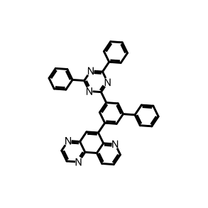 c1ccc(-c2cc(-c3nc(-c4ccccc4)nc(-c4ccccc4)n3)cc(-c3cc4nccnc4c4cccnc34)c2)cc1